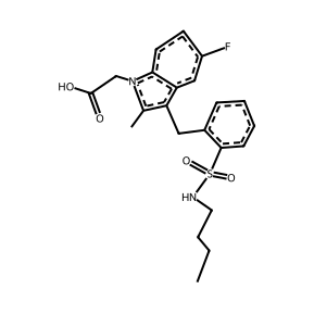 CCCCNS(=O)(=O)c1ccccc1Cc1c(C)n(CC(=O)O)c2ccc(F)cc12